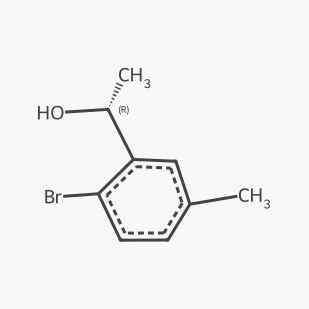 Cc1ccc(Br)c([C@@H](C)O)c1